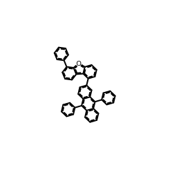 c1ccc(-c2c3ccccc3c(-c3ccccc3)c3cc(-c4cccc5oc6c(-c7ccccc7)cccc6c45)ccc23)cc1